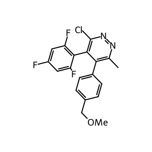 COCc1ccc(-c2c(C)nnc(Cl)c2-c2c(F)cc(F)cc2F)cc1